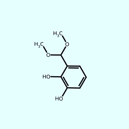 COC(OC)c1cccc(O)c1O